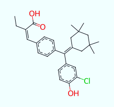 CCC(=Cc1ccc(C(=C2CC(C)(C)CC(C)(C)C2)c2ccc(O)c(Cl)c2)cc1)C(=O)O